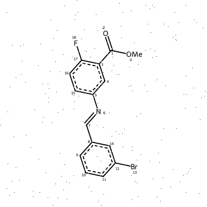 COC(=O)c1cc(N=Cc2cccc(Br)c2)ccc1F